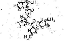 Cc1nc(C(=O)N2C3CC[C@@H](C3)[C@H]2CNC(=O)c2c(C)nc3sccn23)c(-c2ccc(C)c(F)c2)s1